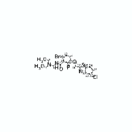 CCN(CC)CNC(=O)c1c(Br)ccc(OCc2nc3cc(Cl)ccc3s2)c1F